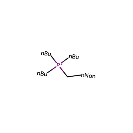 CCCCCCCCCC[P+](CCCC)(CCCC)CCCC